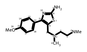 CNCCN(C)Cc1sc(N)nc1-c1ccc(OC)cc1